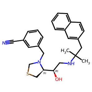 CC(C)(Cc1ccc2ccccc2c1)NC[C@@H](O)[C@H]1CSCN1Cc1cccc(C#N)c1